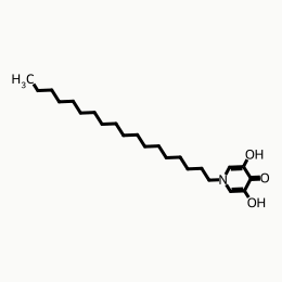 CCCCCCCCCCCCCCCCCCn1cc(O)c(=O)c(O)c1